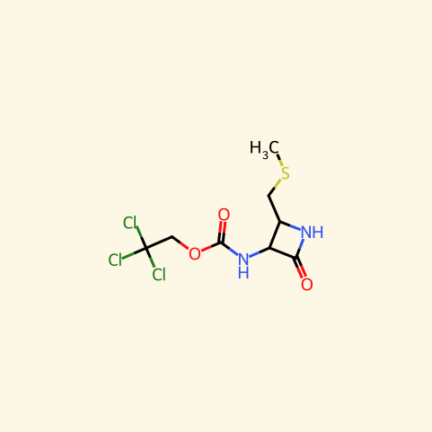 CSCC1NC(=O)C1NC(=O)OCC(Cl)(Cl)Cl